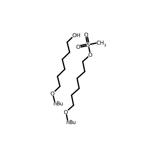 CCCCOCCCCCCO.CCCCOCCCCCCOS(C)(=O)=O